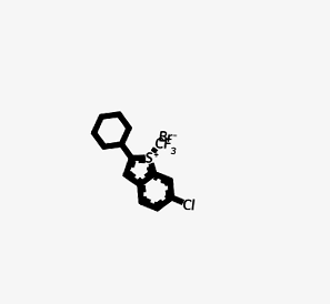 FC(F)(F)[s+]1c(C2CCCCC2)cc2ccc(Cl)cc21.[Br-]